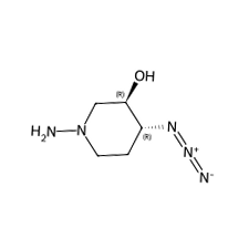 [N-]=[N+]=N[C@@H]1CCN(N)C[C@H]1O